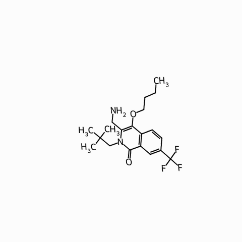 CCCCOc1c(CN)n(CC(C)(C)C)c(=O)c2cc(C(F)(F)F)ccc12